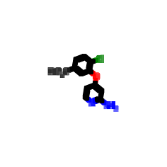 CCOC(=O)c1ccc(Cl)c(Oc2ccnc(N)c2)c1